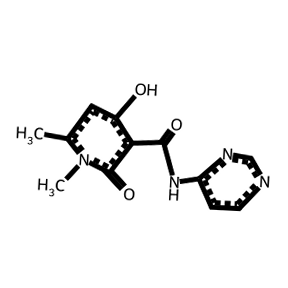 Cc1cc(O)c(C(=O)Nc2ccncn2)c(=O)n1C